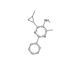 Cc1nc(-c2ccccc2)nc(C2CC2C)c1N